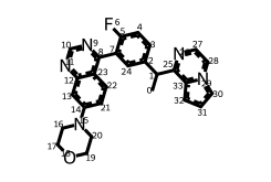 CC(c1ccc(F)c(-c2ncnc3cc(N4CCOCC4)ccc23)c1)c1nccn2cccc12